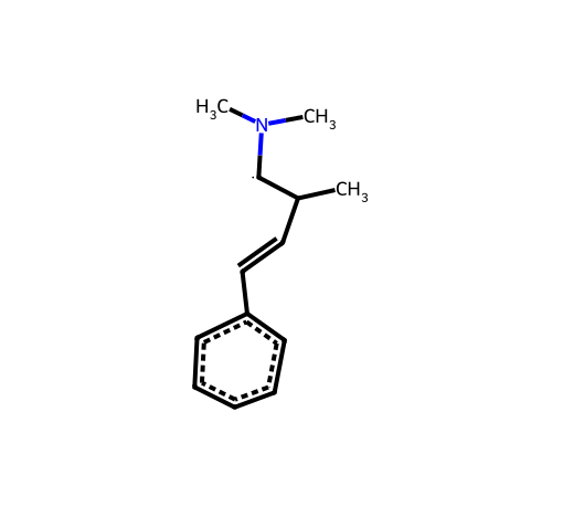 CC([CH]N(C)C)C=Cc1ccccc1